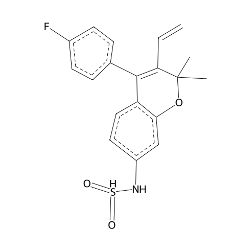 C=CC1=C(c2ccc(F)cc2)c2ccc(N[SH](=O)=O)cc2OC1(C)C